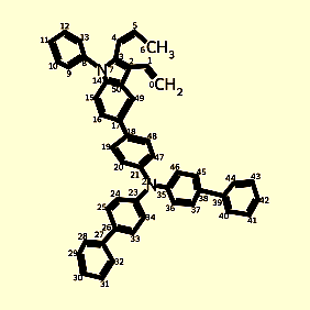 C=Cc1c(/C=C\C)n(-c2ccccc2)c2ccc(-c3ccc(N(c4ccc(-c5ccccc5)cc4)c4ccc(-c5ccccc5)cc4)cc3)cc12